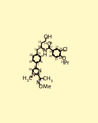 CO/N=C(\C)c1nc(-c2ccc(C[C@@H](CCO)NC(=O)c3ccc(OC(C)C)c(Cl)c3)cc2)cn1C